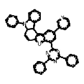 C1=CC2C(c3ccccc3N2c2ccccc2)c2c1oc1c(-c3nc(-c4ccccc4)nc(-c4ccccc4)n3)cc(-c3cccnc3)cc21